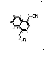 N#CCc1ccc(CC#N)c2ccccc12